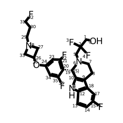 OCC(F)(F)CN1CCc2c([nH]c3ccc(F)cc23)[C@@H]1c1c(F)cc(OC2CN(CCCF)C2)cc1F